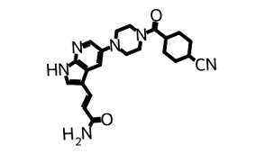 N#CC1CCC(C(=O)N2CCN(c3cnc4[nH]cc(C=CC(N)=O)c4c3)CC2)CC1